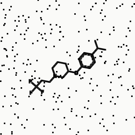 CC(C)c1ccc(OC2CCCN(CCC(F)(F)F)C2)cc1